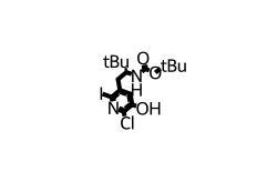 CC(C)(C)OC(=O)N[C@@H](Cc1cc(O)c(Cl)nc1I)C(C)(C)C